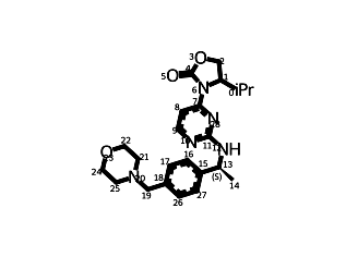 CC(C)C1COC(=O)N1c1ccnc(N[C@@H](C)c2ccc(CN3CCOCC3)cc2)n1